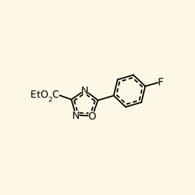 CCOC(=O)c1noc(-c2ccc(F)cc2)n1